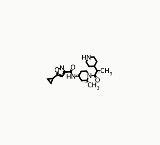 C[C@@H](C(=O)N1CC[C@H](NC(=O)c2cc(C3CC3)on2)C[C@@H]1C)C1CCNCC1